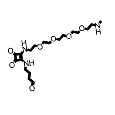 CNCCOCCOCCOCCOCCNc1c(NCCCC=O)c(=O)c1=O